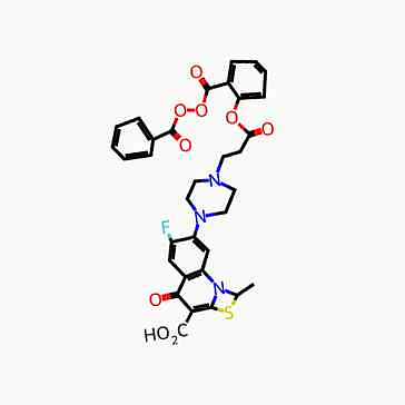 CC1Sc2c(C(=O)O)c(=O)c3cc(F)c(N4CCN(CCC(=O)Oc5ccccc5C(=O)OOC(=O)c5ccccc5)CC4)cc3n21